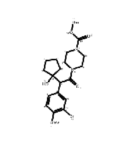 COc1ccc(C(C(=O)N2CCN(C(=O)OC(C)(C)C)CC2)C2(O)CCCC2)cc1Br